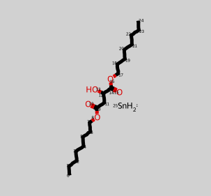 CCCCCCCCOC(=O)CC(O)C(=O)OCCCCCCCC.[SnH2]